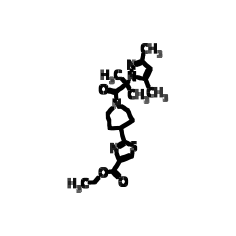 CCOC(=O)c1csc(C2CCN(C(=O)C(C)(C)n3nc(C)cc3C)CC2)n1